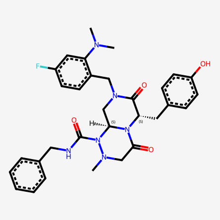 CN(C)c1cc(F)ccc1CN1C[C@H]2N(C(=O)CN(C)N2C(=O)NCc2ccccc2)[C@@H](Cc2ccc(O)cc2)C1=O